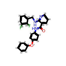 O=C(Nc1ccc(Oc2ccccc2)cc1)c1cccnc1NCc1cccc(F)c1F